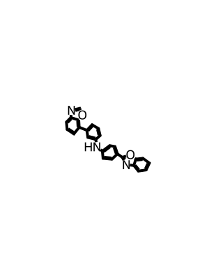 c1cc(Nc2ccc(-c3nc4ccccc4o3)cc2)cc(-c2cccc3ncoc23)c1